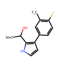 COC(O)c1[nH]ccc1-c1ccc(F)c(C(F)(F)F)c1